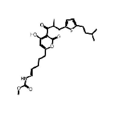 COC(=O)N/C=C/CCCc1cc(O)c(C(=O)C(C)Cc2ccc(CCC(C)C)s2)c(=O)o1